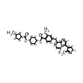 Cc1cc(Cc2nccn3c(C4=CCN=C4C(F)(F)F)cnc23)ccc1C(=O)C[C@H]1CC[C@@H](CC(=O)[C@H]2CC[C@H](C)C2)CC1